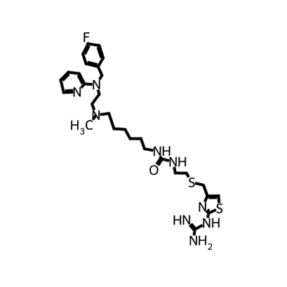 CN(CCCCCCNC(=O)NCCSCc1csc(NC(=N)N)n1)CCN(Cc1ccc(F)cc1)c1ccccn1